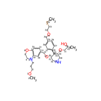 COCCCN1CCOc2ccc(CO[C@H]3CNC[C@@H](OCC(C)O)[C@@H]3c3ccc(COCCSC)cc3)cc21